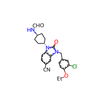 CCOc1ccc(Cn2c(=O)n([C@H]3CC[C@H](NC=O)CC3)c3ccc(C#N)cc32)cc1Cl